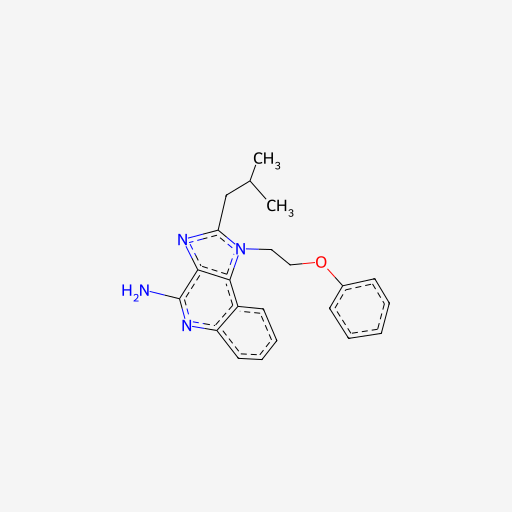 CC(C)Cc1nc2c(N)nc3ccccc3c2n1CCOc1ccccc1